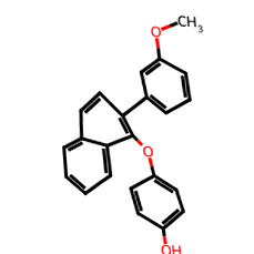 COc1cccc(-c2ccc3ccccc3c2Oc2ccc(O)cc2)c1